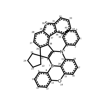 c1ccc(N2C3=C(B4c5ccccc5Oc5cccc2c54)C2(CCCC2)c2ccc4sc5ccccc5c4c23)cc1